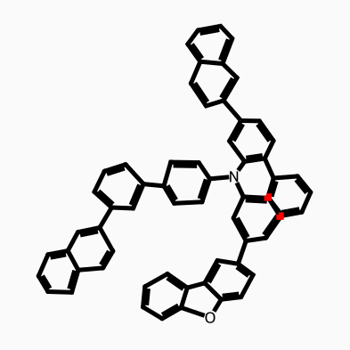 c1ccc(-c2ccc(-c3ccc4ccccc4c3)cc2N(c2ccc(-c3cccc(-c4ccc5ccccc5c4)c3)cc2)c2cccc(-c3ccc4oc5ccccc5c4c3)c2)cc1